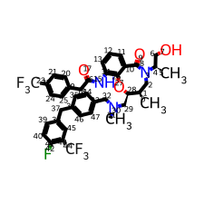 C[C@@H]1CN([C@@H](C)CO)C(=O)c2cccc(NC(=O)Cc3ccc(C(F)(F)F)cc3)c2O[C@@H]1CN(C)Cc1ccc(Cc2ccc(F)c(C(F)(F)F)c2)cc1